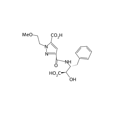 COCCn1nc(C(=O)N[C@H](Cc2ccccc2)[C@@H](O)C(=O)O)cc1C(=O)O